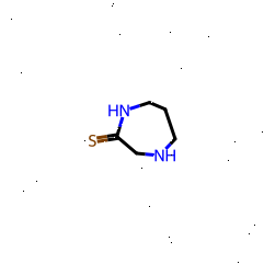 S=C1CNCCCN1